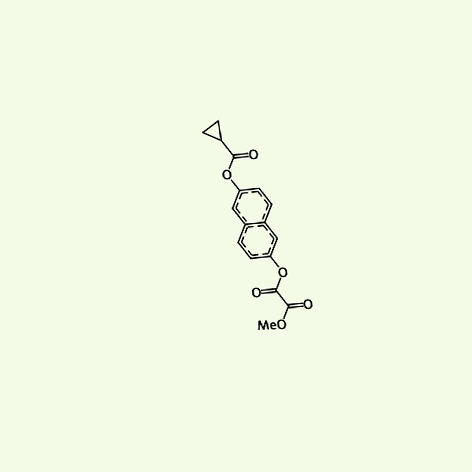 COC(=O)C(=O)Oc1ccc2cc(OC(=O)C3CC3)ccc2c1